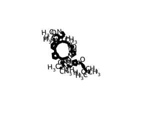 CO[C@@H](C)c1ncccc1-c1c2c3cc(ccc3n1C)-c1cccc(c1)C[C@H](NC(=O)[C@H](C(C)C)N(C)C(=O)C[C@H]1CCN(C(=O)C#CC(C)(C)N(C)C)C1)C(=O)N1CCC[C@H](N1)C(=O)OCC(C)(C)C2